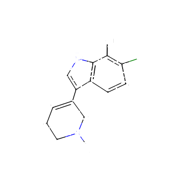 Cc1c(F)ccc2c(C3=CCCN(C)C3)c[nH]c12